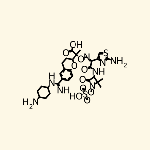 CC(ON=C(C(=O)NC1C(=O)N(OS(=O)(=O)O)C1(C)C)c1csc(N)n1)(C(=O)O)C1CCc2cc(C(=N)NC3CCC(N)CC3)ccc2O1